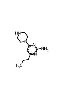 Nc1nc(CCC(F)(F)F)cc(N2CCNCC2)n1